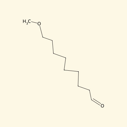 COCCCCCCCCC=O